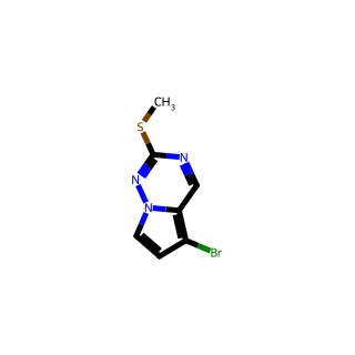 CSc1ncc2c(Br)ccn2n1